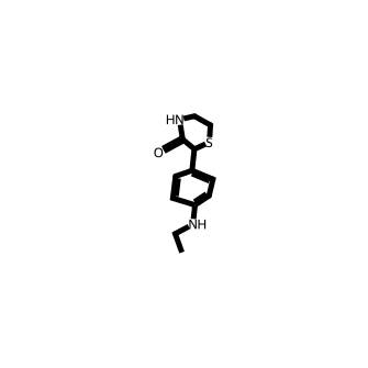 CCNc1ccc(C2SCCNC2=O)cc1